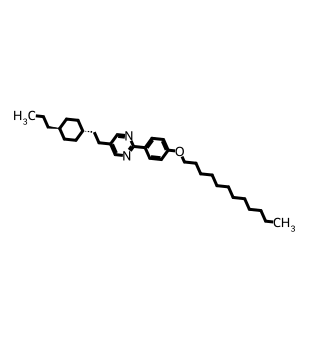 CCCCCCCCCCCCOc1ccc(-c2ncc(CC[C@H]3CC[C@H](CCC)CC3)cn2)cc1